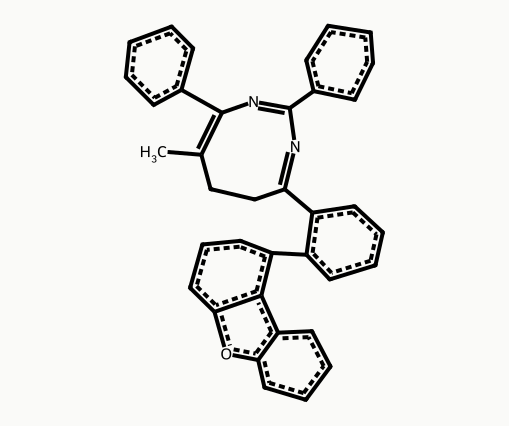 C/C1=C(c2ccccc2)/N=C(c2ccccc2)\N=C(\c2ccccc2-c2cccc3oc4ccccc4c23)CC1